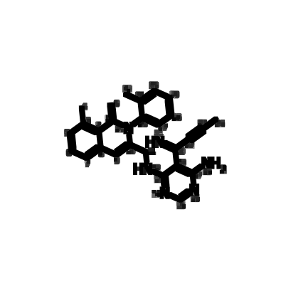 C=C1c2c(C)cccc2C=C(CNc2ncnc(N)c2C(=N)C#CC)N1c1ccccc1C